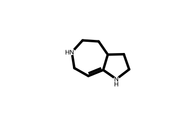 C1=C2NCCC2CCNC1